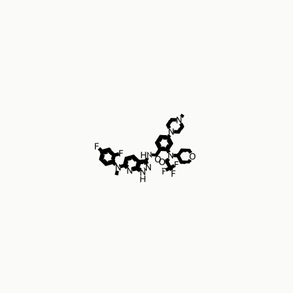 CN1CCN(c2ccc(C(=O)Nc3n[nH]c4nc(N(C)c5ccc(F)cc5F)ccc34)c(N(C(=O)C(F)(F)F)C3CCOCC3)c2)CC1